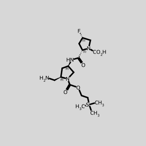 C[Si](C)(C)CCOC(=O)N1C[C@H](NC(=O)[C@@H]2C[C@H](F)CN2C(=O)O)C[C@@H]1CN